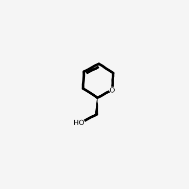 OC[C@H]1CC=CCO1